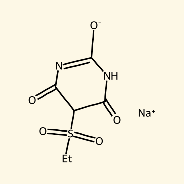 CCS(=O)(=O)C1C(=O)N=C([O-])NC1=O.[Na+]